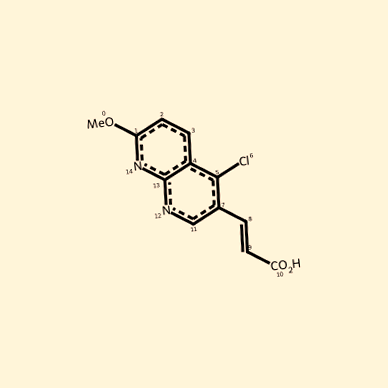 COc1ccc2c(Cl)c(C=CC(=O)O)cnc2n1